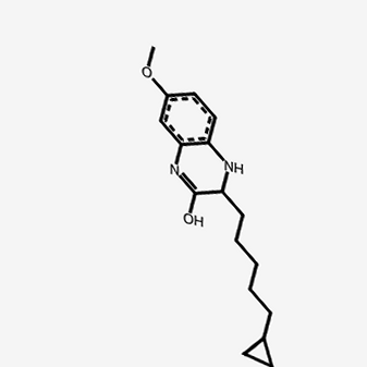 COc1ccc2c(c1)N=C(O)C(CCCCCC1CC1)N2